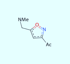 CNCc1cc(C(C)=O)no1